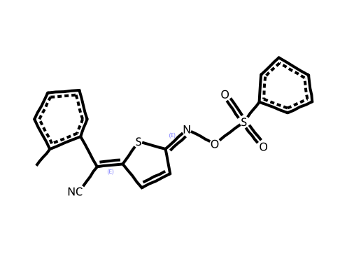 Cc1ccccc1/C(C#N)=C1C=C/C(=N\OS(=O)(=O)c2ccccc2)S/1